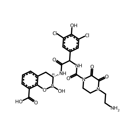 NCCN1CCN(C(=O)NC(C(=O)N[C@H]2Cc3cccc(C(=O)O)c3OB2O)c2cc(Cl)c(O)c(Cl)c2)C(=O)C1=O